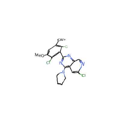 COc1cc(OC)c(Cl)c(-c2nc(N3CCCC3)c3cc(Cl)ncc3n2)c1Cl